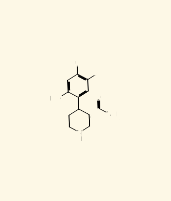 NC(=O)[C@@H]1CNCCC1c1cc(Cl)c(Cl)cc1O